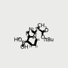 CN(C(=O)OC(C)(C)C)c1nnc2c(B(O)O)cccn12